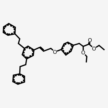 CCOC(=O)C(Cc1ccc(OCC=Cc2cc(CCc3ccccc3)cc(CCc3ccccc3)c2)cc1)OCC